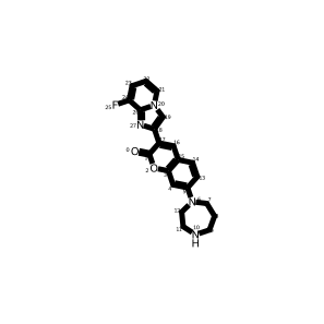 O=c1oc2cc(N3CCCNCC3)ccc2cc1-c1cn2cccc(F)c2n1